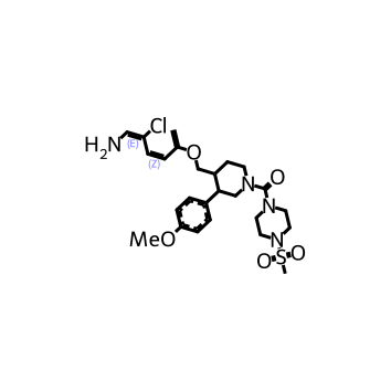 C=C(/C=C\C(Cl)=C/N)OCC1CCN(C(=O)N2CCN(S(C)(=O)=O)CC2)CC1c1ccc(OC)cc1